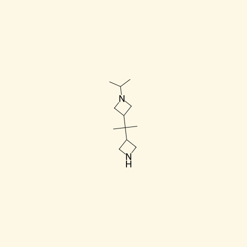 CC(C)N1CC(C(C)(C)C2CNC2)C1